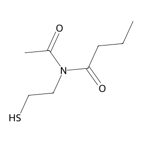 CCCC(=O)N(CCS)C(C)=O